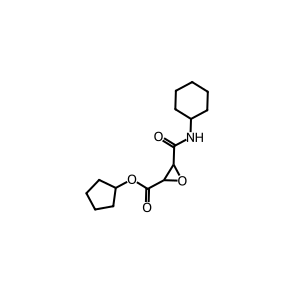 O=C(NC1CCCCC1)C1OC1C(=O)OC1CCCC1